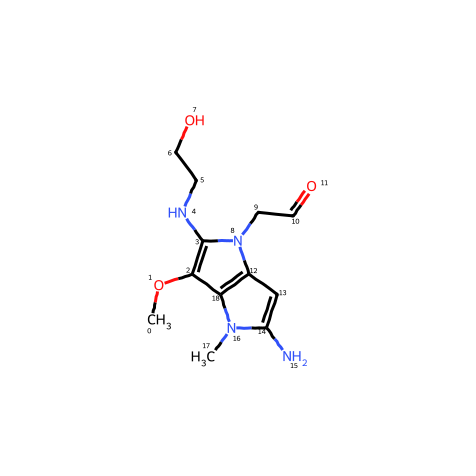 COc1c(NCCO)n(CC=O)c2cc(N)n(C)c12